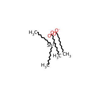 CCCCCCCCCCCC(=O)[O-].CCCCCCCCCCCC(=O)[O-].CCCCCCCCC[CH2][Sn+2][CH2]CCCCCCCCC